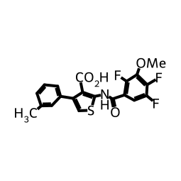 COc1c(F)c(F)cc(C(=O)Nc2scc(-c3cccc(C)c3)c2C(=O)O)c1F